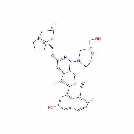 C#Cc1c(F)ccc2cc(O)cc(-c3ccc4c(N5CCO[C@@H](CO)C5)nc(OC[C@@]56CCCN5C[C@H](F)C6)nc4c3F)c12